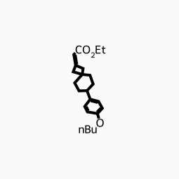 CCCCOc1ccc(C2CCC3(CC2)CC(=CC(=O)OCC)C3)cc1